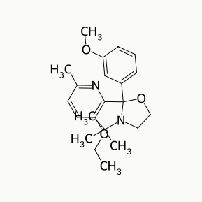 CCOc1ccc(C)nc1C1(c2cccc(OC)c2)OCCN1C(C)(C)C